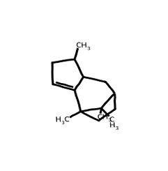 CC1CC=C2C1CC1CCC2(C)C1(C)C